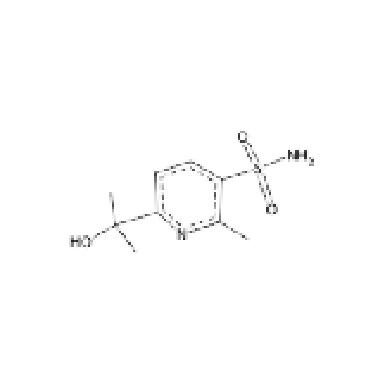 Cc1nc(C(C)(C)O)ccc1S(N)(=O)=O